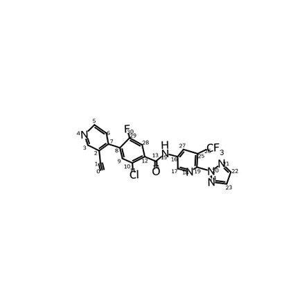 C#Cc1cnccc1-c1cc(Cl)c(C(=O)Nc2cnc(-n3nccn3)c(C(F)(F)F)c2)cc1F